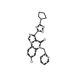 O=c1c2c(-c3nc(C4CCCC4)no3)ncn2c2ccc(Cl)cc2n1Cc1ccccn1